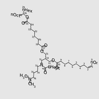 CCCCCCCC/C=C\CCCCCCCC(=O)OCC(COC(=O)CCCCCCC(=O)OC(CCCCCC)CCCCCCCC)CN(CCCCN(C)C)C(=O)CCCCCCC